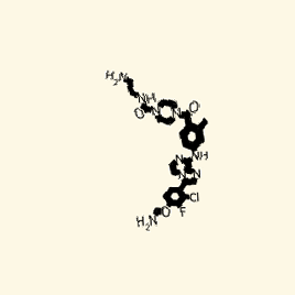 Cc1cc(Nc2nccn3c(-c4ccc(OCN)c(F)c4Cl)cnc23)ccc1C(=O)N1CCN(C(=O)NCCN)CC1